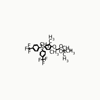 Cc1cc(S(C)(c2ccc(C(F)(F)F)cc2)c2ccc(C(F)(F)F)cc2)cc(C)c1OCC(=O)OC(C)(C)C